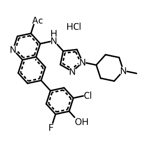 CC(=O)c1cnc2ccc(-c3cc(F)c(O)c(Cl)c3)cc2c1Nc1cnn(C2CCN(C)CC2)c1.Cl